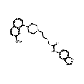 COc1ccc2cccc(N3CCN(CCCOC(=O)Nc4ccc5ncsc5c4)CC3)c2c1